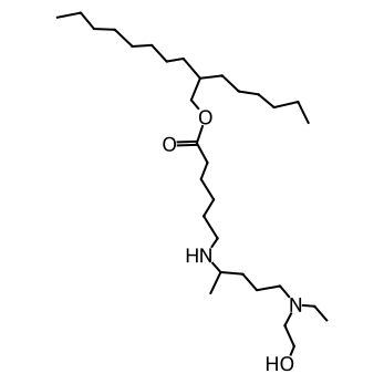 CCCCCCCCC(CCCCCC)COC(=O)CCCCCNC(C)CCCN(CC)CCO